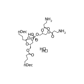 CCCCCCCCCCCCCC(=O)OC[C@H](COP(=O)(O)OCC(COC(=O)CCN)OC(=O)CCN)OC(=O)CCCCCCCCCCCCC.Cl.Cl